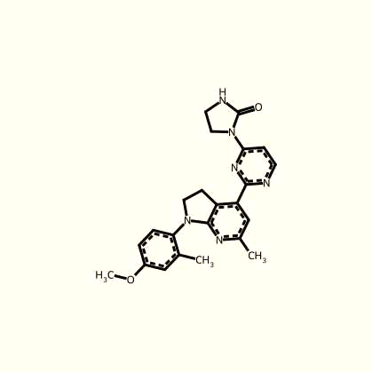 COc1ccc(N2CCc3c(-c4nccc(N5CCNC5=O)n4)cc(C)nc32)c(C)c1